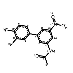 CC(=O)Nc1cc(-c2ccc(F)c(F)c2)cc([N+](=O)[O-])c1